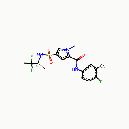 C[C@@H](NS(=O)(=O)c1cc(C(=O)Nc2ccc(F)c(C#N)c2)n(C)c1)C(C)(F)F